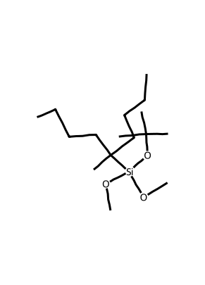 CCCCC(C)(CCCC)[Si](OC)(OC)OC(C)(C)C